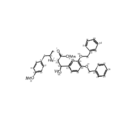 COC(=O)[C@@H](NC(C)Cc1ccc(OC)cc1)C(O)c1ccc(OCc2ccccc2)c(OCc2ccccc2)c1